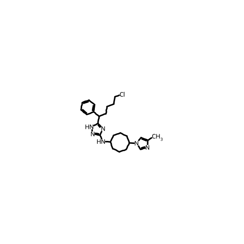 Cc1cn(C2CCCC(Nc3n[nH]c(C(CCCCCl)c4ccccc4)n3)CCC2)cn1